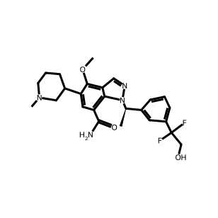 COc1c(C2CCCN(C)C2)cc(C(N)=O)c2c1cnn2[C@H](C)c1cccc(C(F)(F)CO)c1